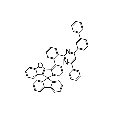 c1ccc(-c2cccc(-c3cc(-c4ccccc4)nc(-c4ccccc4-c4cccc5c4-c4oc6ccccc6c4C54c5ccccc5-c5ccccc54)n3)c2)cc1